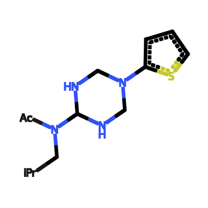 CC(=O)N(CC(C)C)C1NCN(c2cccs2)CN1